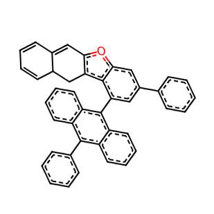 C1=CC2=Cc3oc4cc(-c5ccccc5)cc(-c5c6ccccc6c(-c6ccccc6)c6ccccc56)c4c3CC2C=C1